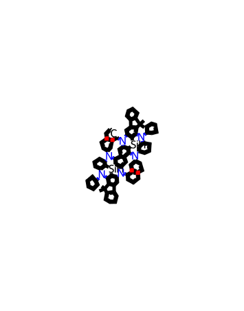 CC1(C)c2ccccc2-c2cc3c4c(c21)N(c1ccccc1)c1cccc2c1[SiH]4c1c(cc4c5c6c(cc4c1N2c1ccccc1)N(c1ccccc1)c1cc2c(c4c1[SiH]6c1c(cccc1N5c1ccccc1)N4c1ccccc1)C(C)(C)c1ccccc1-2)N3c1ccccc1